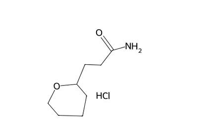 Cl.NC(=O)CCC1CCCCO1